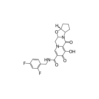 O=C(NCc1ccc(F)cc1F)c1cn2c(c(O)c1=O)C(=O)N1C(C2)O[C@@H]2CCCC21